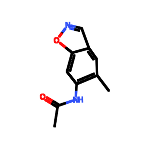 CC(=O)Nc1cc2oncc2cc1C